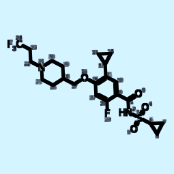 O=C(NS(=O)(=O)C1CC1)c1cc(C2CC2)c(OCC2CCN(CCC(F)(F)F)CC2)cc1F